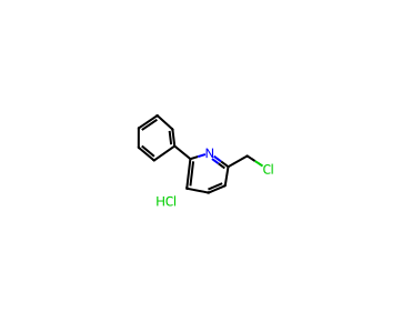 Cl.ClCc1cccc(-c2ccccc2)n1